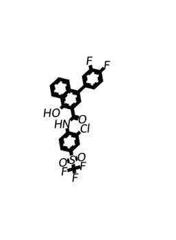 O=C(Nc1ccc(S(=O)(=O)C(F)(F)F)cc1Cl)c1cc(-c2ccc(F)c(F)c2)c2ccccc2c1O